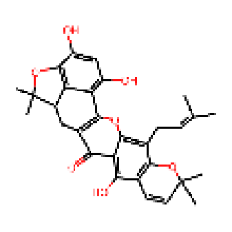 CC(C)=CCc1c2c(c(O)c3c(=O)c4c(oc13)-c1c(O)cc(O)c3c1C(C4)C(C)(C)O3)C=CC(C)(C)O2